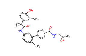 Cc1cc(C2(C(=O)Nc3ccc(C)c(-c4ccc(C(=O)NC[C@@H](C)O)cc4)c3)CC2)ccc1O